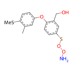 CSc1ccc(Oc2ccc(SOON)cc2CO)cc1C